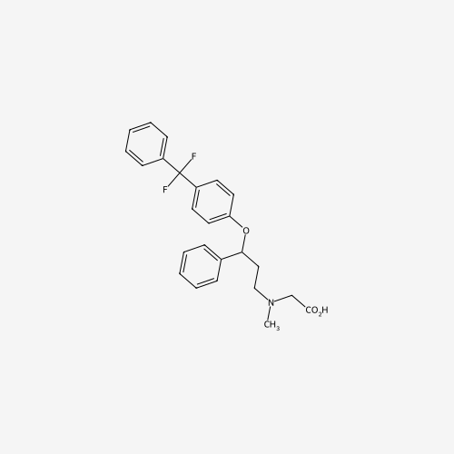 CN(CCC(Oc1ccc(C(F)(F)c2ccccc2)cc1)c1ccccc1)CC(=O)O